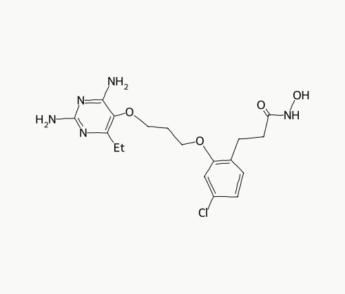 CCc1nc(N)nc(N)c1OCCCOc1cc(Cl)ccc1CCC(=O)NO